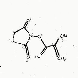 C=C(O)C(=O)ON1C(=O)CCC1=O